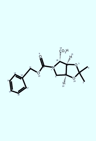 CC1(C)O[C@H]2[C@H](CN(C(=O)OCc3ccccc3)[C@@H]2C(=O)O)O1